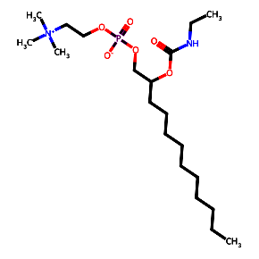 CCCCCCCCCCC(COP(=O)([O-])OCC[N+](C)(C)C)OC(=O)NCC